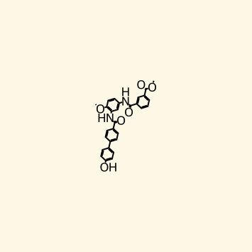 COC(=O)c1cccc(C(=O)Nc2ccc(OC)c(NC(=O)c3ccc(-c4ccc(O)cc4)cc3)c2)c1